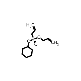 C=CCOP(=O)(CC=C)OC1CCCCC1